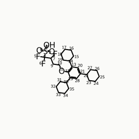 O=S(=O)(O)C(F)(F)C(F)CCOc1c(C2CCCCC2)cc(C2CCCCC2)cc1C1CCCCC1